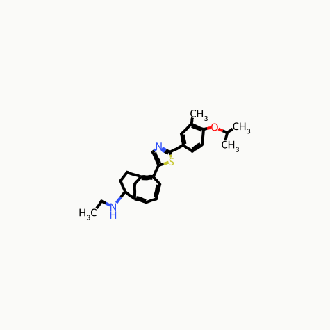 CCNC1CCC2=C(c3cnc(-c4ccc(OC(C)C)c(C)c4)s3)C=CC=C1C2